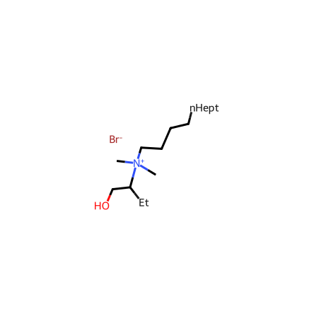 CCCCCCCCCCC[N+](C)(C)C(CC)CO.[Br-]